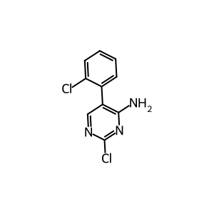 Nc1nc(Cl)ncc1-c1ccccc1Cl